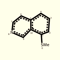 CSc1[c]ccc2ccncc12